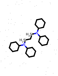 C1CCC(N([SiH2]C[SiH2]N(C2CCCCC2)C2CCCCC2)C2CCCCC2)CC1